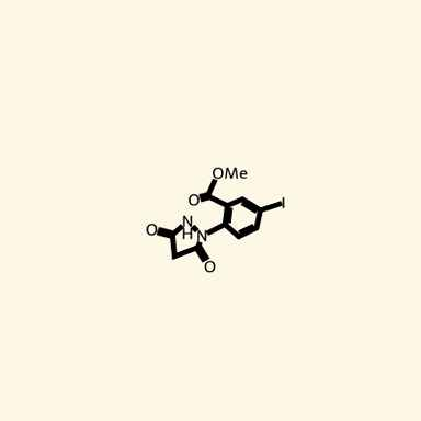 COC(=O)c1cc(I)ccc1N1NC(=O)CC1=O